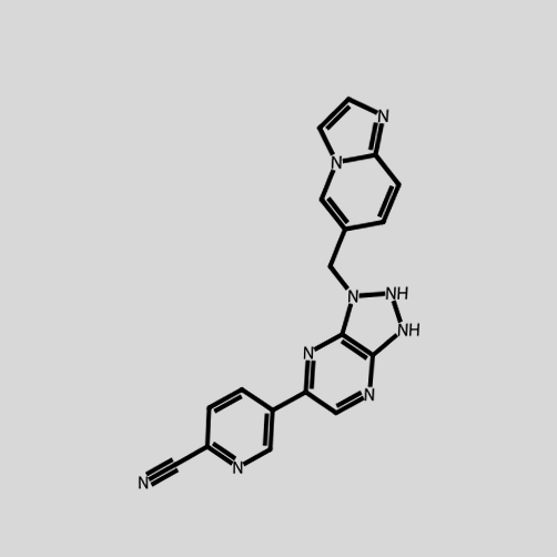 N#Cc1ccc(-c2cnc3c(n2)N(Cc2ccc4nccn4c2)NN3)cn1